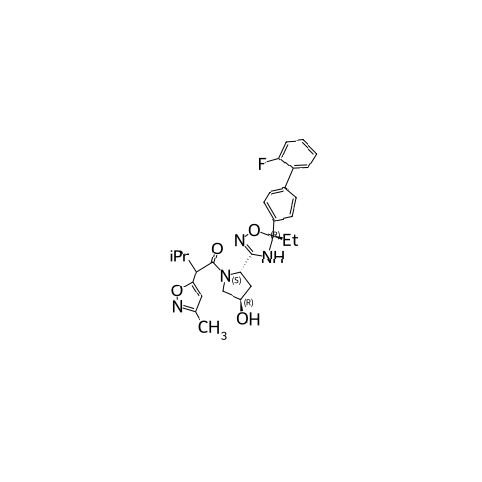 CC[C@@]1(c2ccc(-c3ccccc3F)cc2)NC([C@@H]2C[C@@H](O)CN2C(=O)C(c2cc(C)no2)C(C)C)=NO1